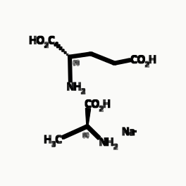 C[C@H](N)C(=O)O.N[C@@H](CCC(=O)O)C(=O)O.[Na]